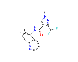 Cn1cc(C(=O)NC23CCC(c4ncccc42)C3(C)C)c(C(F)F)n1